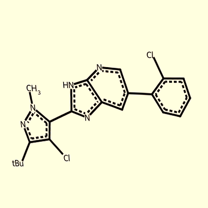 Cn1nc(C(C)(C)C)c(Cl)c1-c1nc2cc(-c3ccccc3Cl)cnc2[nH]1